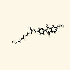 C=COCOCCOC(=O)C=Cc1ccc(N2C(=O)c3ccc(C=O)cc3C2=O)cc1